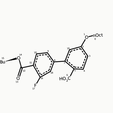 CCCCCCCCOc1ccc(C(=O)O)c(-c2ccc(C(=O)O[C@H](C)CC)c(F)c2)c1